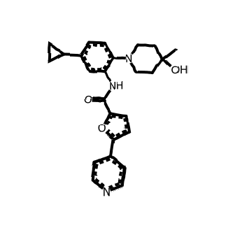 CC1(O)CCN(c2ccc(C3CC3)cc2NC(=O)c2ccc(-c3ccncc3)o2)CC1